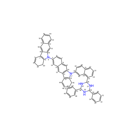 C1=Cc2c(n(-c3ccc4cc5c(cc4c3)c3c(n5-c4ccc5cccc(C6NC(c7ccccc7)NC(c7ccccc7)N6)c5c4)CCC=C3)c3cc4ccccc4cc23)CC1